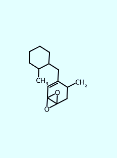 CC1CC23OC2(C=C1CC1CCCCC1C)O3